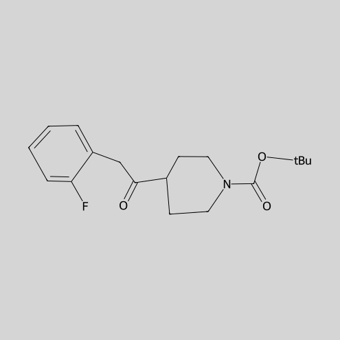 CC(C)(C)OC(=O)N1CCC(C(=O)Cc2ccccc2F)CC1